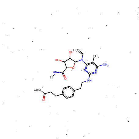 C=CN(c1nc(NCCc2ccc(CCC(=O)OC)cc2)nc(N)c1C)C1OC(C(=O)NCC)C(O)C1O